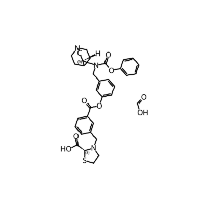 O=C(Oc1cccc(CN(C(=O)Oc2ccccc2)[C@H]2CN3CCC2CC3)c1)c1cccc(CN2CCS[C@H]2C(=O)O)c1.O=CO